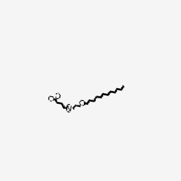 CCCCCCCCCCCCOCCC[N+](C)(C)CCCC(=O)[O-]